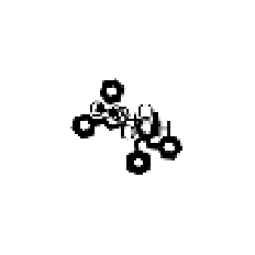 O=C(CC(c1ccccc1)S(=O)(=O)c1ccccc1)OC1[C@@H]2OC[C@H](CC1(Cc1ccccc1)Cc1ccccc1)O2